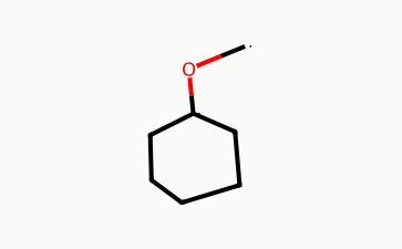 [CH2]O[C]1CCCCC1